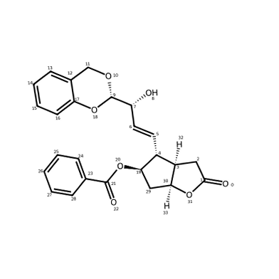 O=C1C[C@@H]2[C@@H](/C=C/[C@@H](O)[C@H]3OCc4ccccc4O3)[C@H](OC(=O)c3ccccc3)C[C@@H]2O1